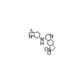 O=S1(=O)CCc2cc3nccc(Nc4ccc5scnc5c4)c3cc21